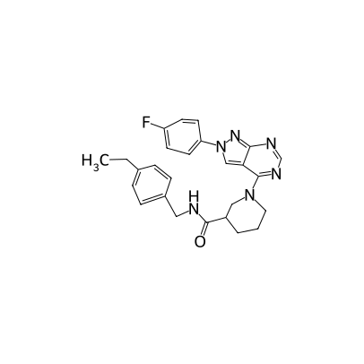 CCc1ccc(CNC(=O)C2CCCN(c3ncnc4nn(-c5ccc(F)cc5)cc34)C2)cc1